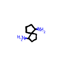 NC1CCCC12CCCC2N